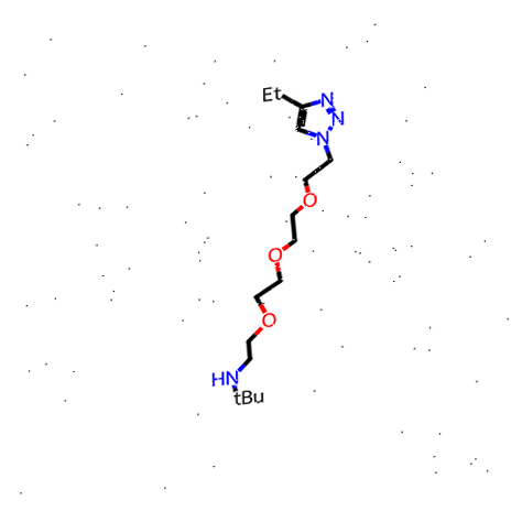 CCc1cn(CCOCCOCCOCCNC(C)(C)C)nn1